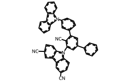 N#Cc1ccc2c(c1)c1cc(C#N)ccc1n2-c1cc(-c2ccccc2)cc(-c2cccc(-n3c4ccccc4c4ccccc43)c2)c1C#N